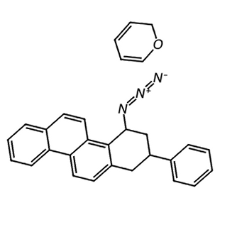 C1=CCOC=C1.[N-]=[N+]=NC1CC(c2ccccc2)Cc2ccc3c(ccc4ccccc43)c21